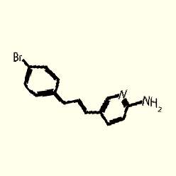 Nc1ccc(C=CCc2ccc(Br)cc2)cn1